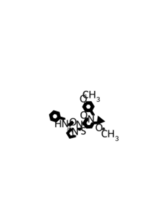 CCOC1(c2cc3sc(N4CCC[C@@H]4C(=O)NCc4ccccc4)nc3c(=O)n2Cc2ccc(OC)cc2)CC1